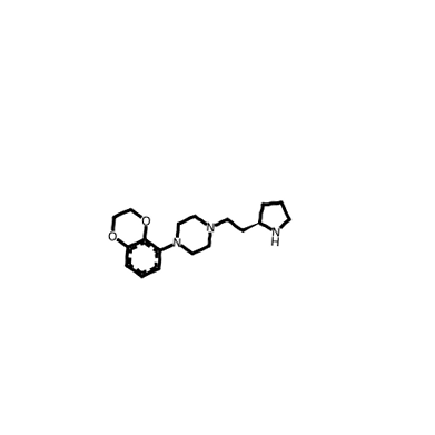 c1cc2c(c(N3CCN(CC[C@H]4CCCN4)CC3)c1)OCCO2